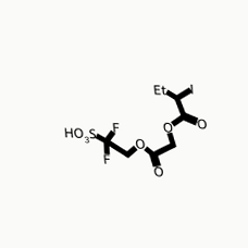 CCC(I)C(=O)OCC(=O)OCC(F)(F)S(=O)(=O)O